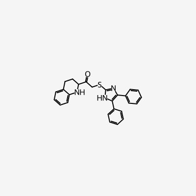 O=C(CSc1nc(-c2ccccc2)c(-c2ccccc2)[nH]1)C1CCc2ccccc2N1